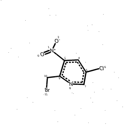 O=[N+]([O-])c1cc(Cl)cnc1CBr